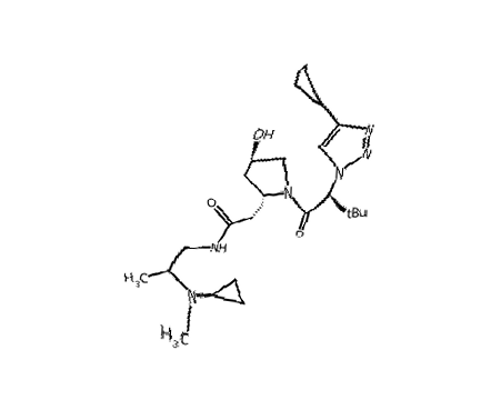 CC(CNC(=O)C[C@@H]1C[C@@H](O)CN1C(=O)[C@@H](n1cc(C2CC2)nn1)C(C)(C)C)N(C)C1CC1